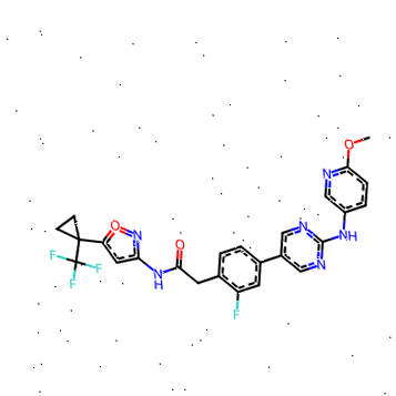 COc1ccc(Nc2ncc(-c3ccc(CC(=O)Nc4cc(C5(C(F)(F)F)CC5)on4)c(F)c3)cn2)cn1